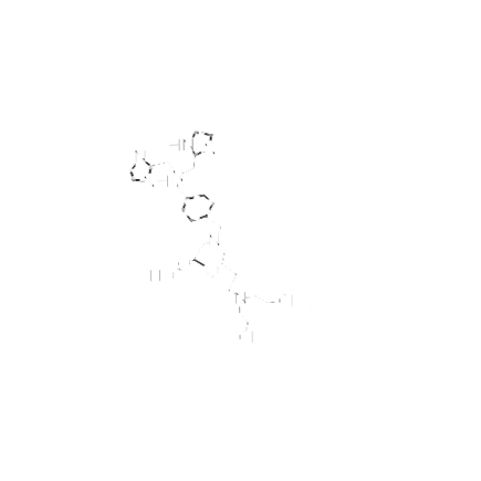 CCCN(CCC)CCCCN(CC(=O)OC)Cc1ccc(CN(Cc2ncc[nH]2)Cc2ncc[nH]2)cc1